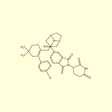 CC1(C)CCC(CN2CC3CCC(C2)N3C(=O)c2ccc3c(c2)C(=O)N(C2CCC(=O)NC2=O)C3=O)=C(c2ccc(Cl)cc2)C1